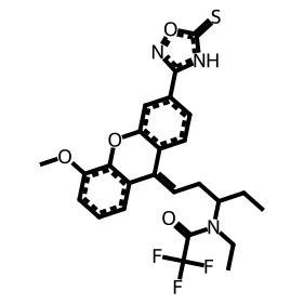 CCC(C/C=C1\c2ccc(-c3noc(=S)[nH]3)cc2Oc2c(OC)cccc21)N(CC)C(=O)C(F)(F)F